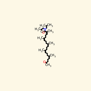 CC(=O)CCC=C(C)CCC=C(C)CCC=C(C)CCC=C(C)CCC=C(C)C(=O)N(CC(C)C)CC(C)C